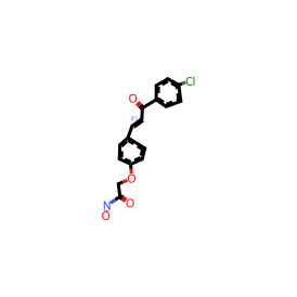 O=NC(=O)COc1ccc(/C=C/C(=O)c2ccc(Cl)cc2)cc1